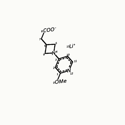 COc1cc(N2CC(CC(=O)[O-])C2)ccn1.[Li+]